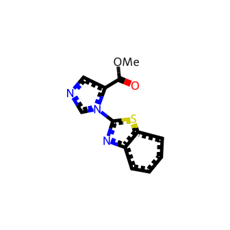 COC(=O)c1cncn1-c1nc2ccccc2s1